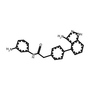 Nc1cccc(NC(=O)Cc2ccc(-c3cccc4[nH]nc(N)c34)cc2)c1